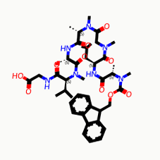 CC(C)C[C@H](NC(=O)[C@H](C)N(C)C(=O)OCC1c2ccccc2-c2ccccc21)C(=O)N(C)CC(=O)N(C)[C@@H](C)C(=O)N[C@@H](C)C(=O)N(C)[C@H](C(=O)NCC(=O)O)C(C)C